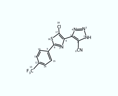 N#Cc1[nH]nnc1-c1nc(-c2ccc(C(F)(F)F)cc2)sc1Cl